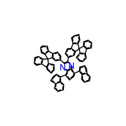 c1ccc2c(c1)-c1ccccc1C21c2ccccc2-c2ccc(-c3nc4c(-c5cccc6ccccc56)ccc(-c5cccc6ccccc56)c4nc3-c3ccc4c(c3)C3(c5ccccc5-c5ccccc53)c3ccccc3-4)cc21